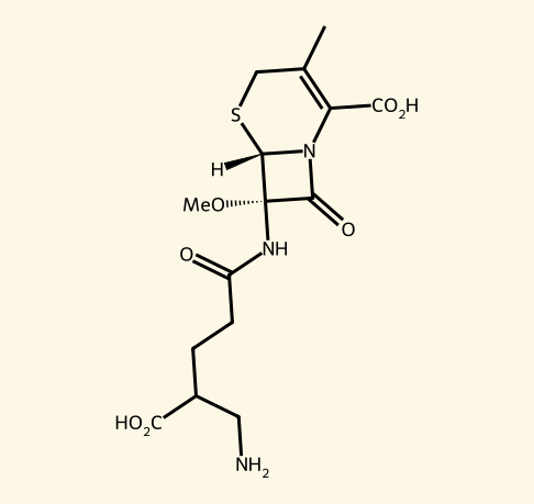 CO[C@@]1(NC(=O)CCC(CN)C(=O)O)C(=O)N2C(C(=O)O)=C(C)CS[C@H]21